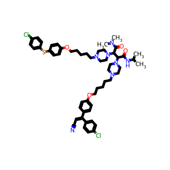 CC(C)NC(=O)C(C(C(=O)N(C)C)N1CCN(CCCCCOc2ccc(Sc3ccc(Cl)cc3)cc2)CC1)N1CCN(CCCCCOc2ccc(C(=CC#N)c3ccc(Cl)cc3)cc2)CC1